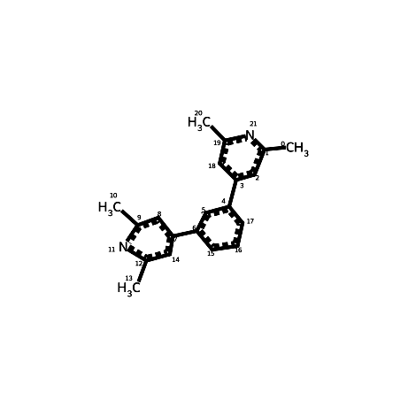 Cc1cc(-c2[c]c(-c3cc(C)nc(C)c3)ccc2)cc(C)n1